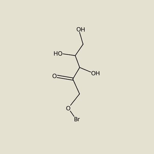 O=C(COBr)C(O)C(O)CO